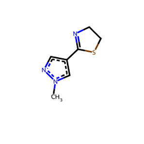 Cn1cc(C2=NCCS2)cn1